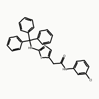 O=C(Cc1cnc(NC(c2ccccc2)(c2ccccc2)c2ccccc2)s1)Nc1cccc(Cl)c1